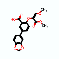 COC=C(Oc1ccc(-c2ccc3c(c2)OCO3)cc1C(=O)O)C(=O)OC